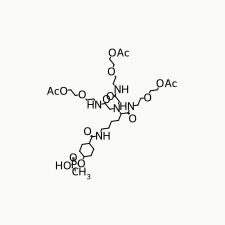 CC(=O)OCCOCCNC(=O)CN(CC(=O)NCCOCCOC(C)=O)C(CCCCNC(=O)C1CCC(OP(C)(=O)O)CC1)C(=O)NCCOCCOC(C)=O